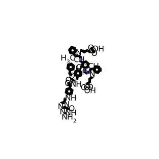 CC1(C)C(/C=C/C2=C(Oc3ccc(C[C@H](NC(=O)c4ccc(NCc5cnc6nc(N)[nH]c(=O)c6n5)cc4)C(=O)OCc4ccccc4)cc3)C(=C/C=C3/N(CCCCS(=O)(=O)O)c4ccccc4C3(C)C)/CCC2)=[N+](CCCCS(=O)(=O)O)c2ccccc21